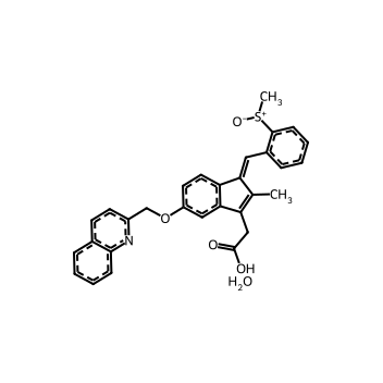 CC1=C(CC(=O)O)c2cc(OCc3ccc4ccccc4n3)ccc2C1=Cc1ccccc1[S+](C)[O-].O